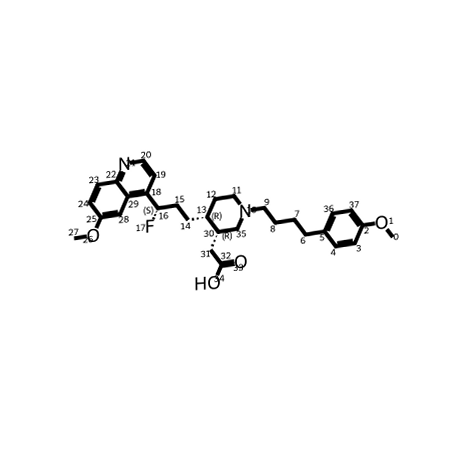 COc1ccc(CCCCN2CC[C@@H](CC[C@H](F)c3ccnc4ccc(OC)cc34)[C@@H](CC(=O)O)C2)cc1